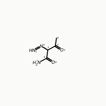 CC(=O)C(N=N)C(N)=O